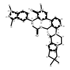 CC(=O)OCc1c(-c2cn(C)c(=O)c(Nc3ccc4c(c3)c(C)nn4C)n2)ccnc1N1CCn2c(cc3c2CC(C)(C)C3)C1=O